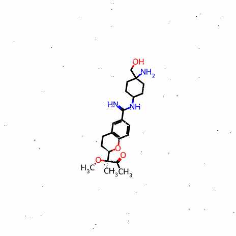 CO[C@](C)(C(C)=O)[C@H]1CCc2cc(C(=N)NC3CCC(N)(CO)CC3)ccc2O1